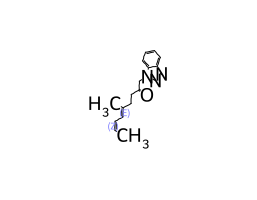 C/C=C\C=C(/C)CCC(=O)Cn1nnc2ccccc21